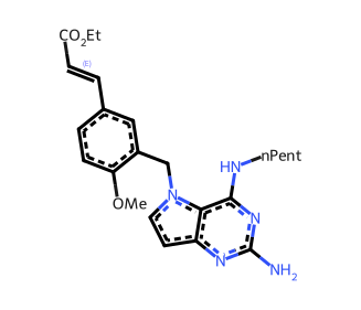 CCCCCNc1nc(N)nc2ccn(Cc3cc(/C=C/C(=O)OCC)ccc3OC)c12